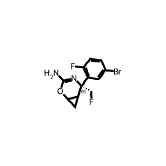 NC1=N[C@@](CF)(c2cc(Br)ccc2F)C2CC2O1